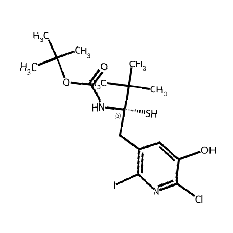 CC(C)(C)OC(=O)N[C@](S)(Cc1cc(O)c(Cl)nc1I)C(C)(C)C